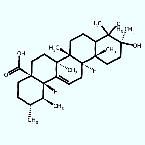 C[C@H]1[C@H](C)CC[C@]2(C(=O)O)CC[C@]3(C)C(=CC[C@@H]4[C@@]5(C)CC[C@](C)(O)C(C)(C)C5CC[C@]43C)[C@H]12